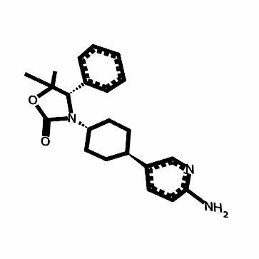 CC1(C)OC(=O)N([C@H]2CC[C@H](c3ccc(N)nc3)CC2)[C@H]1c1ccccc1